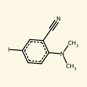 CN(C)c1ccc(I)cc1C#N